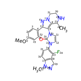 COc1ccc(-c2nn3c(c2-n2ccn(-c4ccc5c(cnn5C)c4F)c2=O)C(C)NCC3)cc1